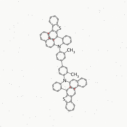 Cc1cc(-c2ccc(N(c3ccc4ccccc4c3)c3ccccc3-c3cccc4c3sc3ccccc34)c(C)c2)ccc1N(c1ccc2ccccc2c1)c1ccccc1-c1cccc2c1sc1ccccc12